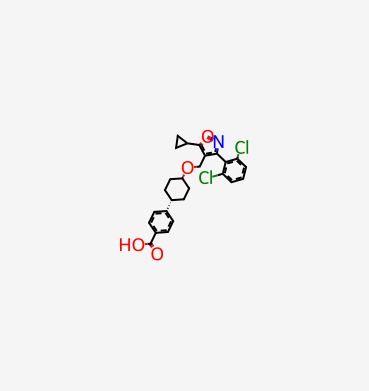 O=C(O)c1ccc([C@H]2CC[C@H](OCc3c(-c4c(Cl)cccc4Cl)noc3C3CC3)CC2)cc1